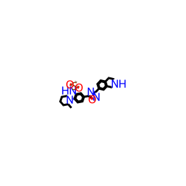 CC1CCCCN1c1ccc(-c2nc(-c3ccc4c(c3)CNCC4)no2)cc1NS(C)(=O)=O